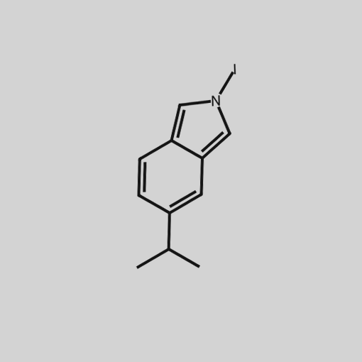 CC(C)c1ccc2cn(I)cc2c1